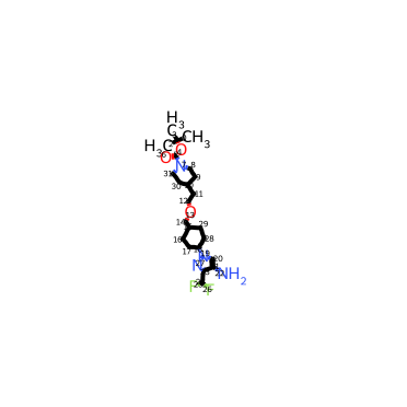 CC(C)(C)OC(=O)N1CCC(CCOCC2CCC(n3cc(N)c(C(F)F)n3)CC2)CC1